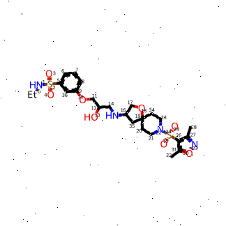 CCNS(=O)(=O)c1cccc(OCC(O)CNC2COC3(CCN(S(=O)(=O)c4c(C)noc4C)CC3)C2)c1